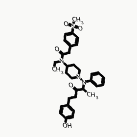 CCN(C(=O)Cc1ccc(S(C)(=O)=O)cc1)C1CCN(N(c2ccccc2)C(C)C(=O)CCc2ccc(O)cc2)CC1